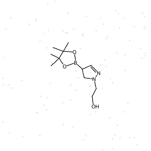 CC1(C)OB(C2C=NN(CCO)C2)OC1(C)C